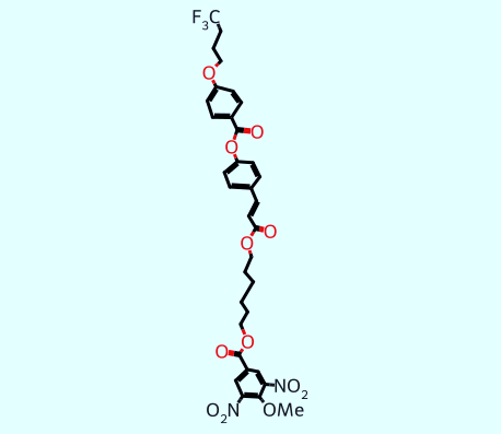 COc1c([N+](=O)[O-])cc(C(=O)OCCCCCCOC(=O)/C=C/c2ccc(OC(=O)c3ccc(OCCCC(F)(F)F)cc3)cc2)cc1[N+](=O)[O-]